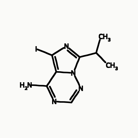 CC(C)c1nc(I)c2c(N)ncnn12